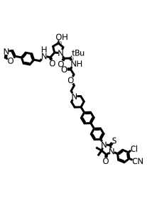 CC(C)(C)[C@H](NC(=O)COCCN1CCC(c2ccc(-c3ccc(N4C(=S)N(c5ccc(C#N)c(Cl)c5)C(=O)C4(C)C)cc3)cc2)CC1)C(=O)N1C[C@H](O)CC1C(=O)NCc1ccc(-c2cnco2)cc1